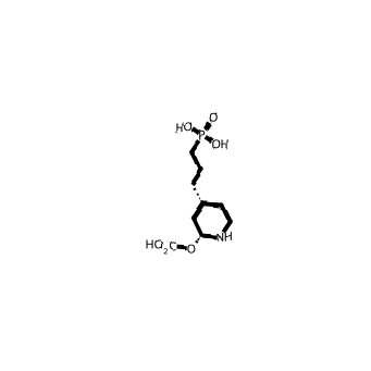 O=C(O)O[C@@H]1C[C@H](CCCP(=O)(O)O)CCN1